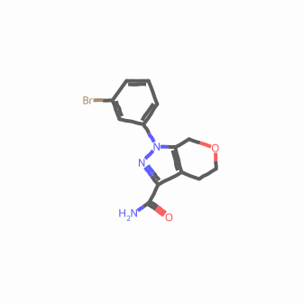 NC(=O)c1nn(-c2cccc(Br)c2)c2c1CCOC2